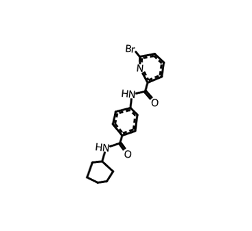 O=C(NC1CCCCC1)c1ccc(NC(=O)c2cccc(Br)n2)cc1